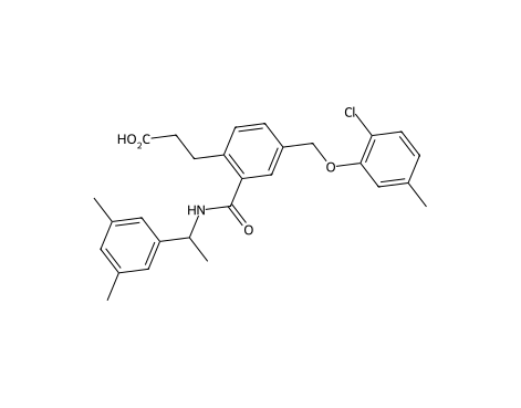 Cc1cc(C)cc(C(C)NC(=O)c2cc(COc3cc(C)ccc3Cl)ccc2CCC(=O)O)c1